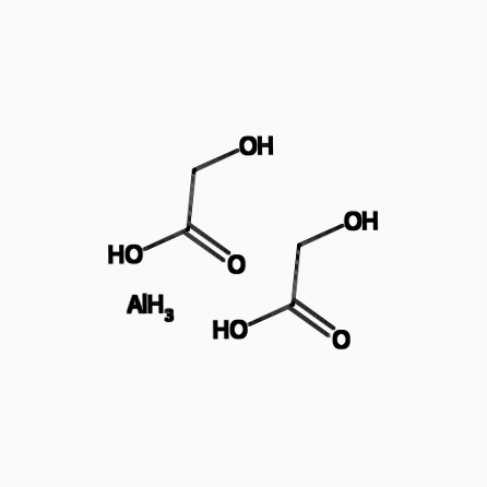 O=C(O)CO.O=C(O)CO.[AlH3]